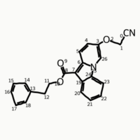 N#CCOc1ccc2c(C(=O)OCCc3ccccc3)c3ccccc3n2c1